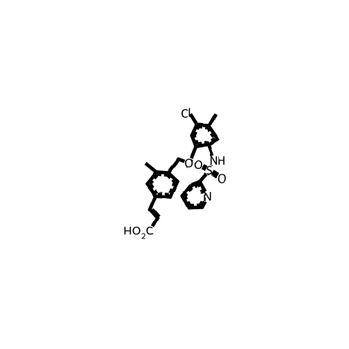 Cc1cc(NS(=O)(=O)c2ccccn2)c(OCc2ccc(/C=C/C(=O)O)cc2C)cc1Cl